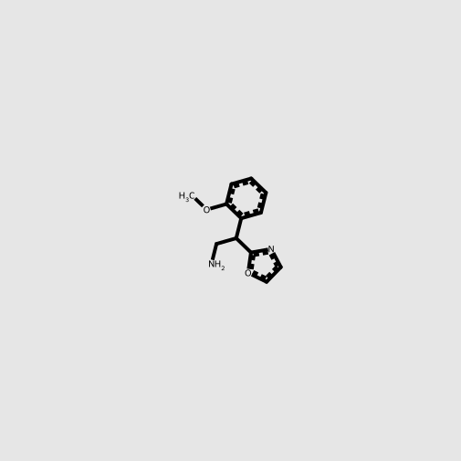 COc1ccccc1C(CN)c1ncco1